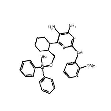 COc1ncccc1Nc1nc(N)c(N)c([C@@H]2CCCC[C@@H]2CO[Si](c2ccccc2)(c2ccccc2)C(C)(C)C)n1